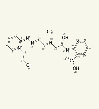 OCCn1ccccc1=NN=CN=NCC(O)[n+]1cn(O)c2ccccc21.[Cl-]